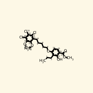 CCCc1c(OCCCCCc2c(Cl)c(Cl)c(Cl)c(OC)c2OC)ccc(C(=O)OC)c1O